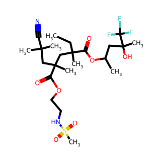 CCC(C)(CC(C)(CC(C)(C)C#N)C(=O)OCCNS(C)(=O)=O)C(=O)OC(C)CC(C)(O)C(F)(F)F